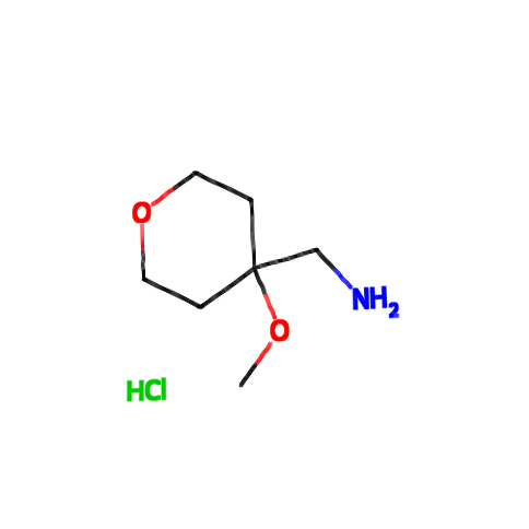 COC1(CN)CCOCC1.Cl